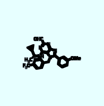 COc1cccc(-c2nc3nc(C=O)nc(N[C@H](C)C4CC4)c3n2Cc2ccc(C(F)(F)F)cc2)c1